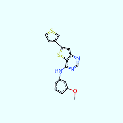 COc1cccc(Nc2ncnc3cc(-c4ccsc4)sc23)c1